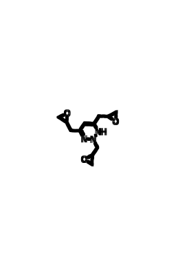 C1=C(CC2CO2)NN(CC2CO2)N=C1CC1CO1